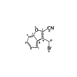 N#Cc1oc2ccccc2c1CBr